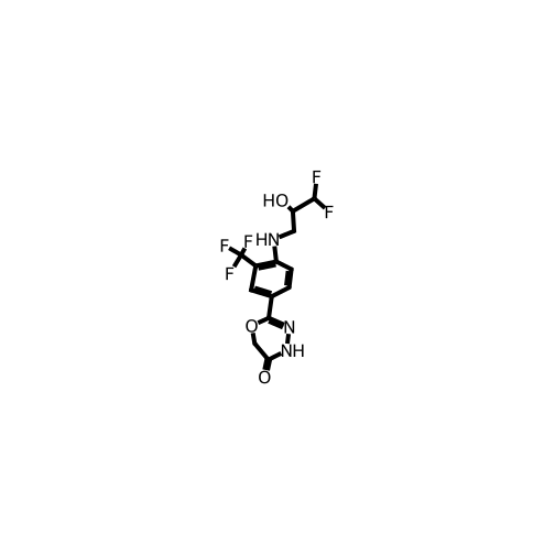 O=C1COC(c2ccc(NCC(O)C(F)F)c(C(F)(F)F)c2)=NN1